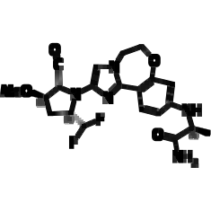 CO[C@@H]1C[C@@H](C(F)F)N(c2cn3c(n2)-c2ccc(N[C@@H](C)C(N)=O)cc2OCC3)C1=C=O